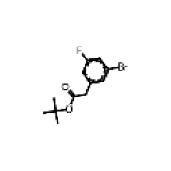 CC(C)(C)OC(=O)Cc1cc(F)cc(Br)c1